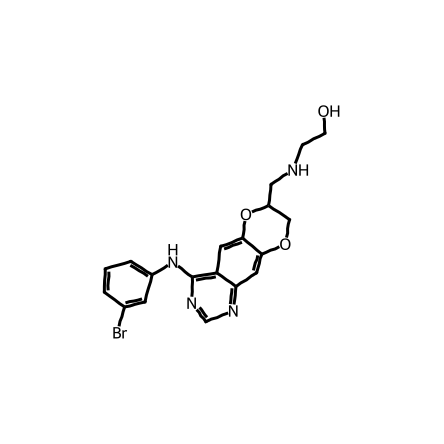 OCCNCC1COc2cc3ncnc(Nc4cccc(Br)c4)c3cc2O1